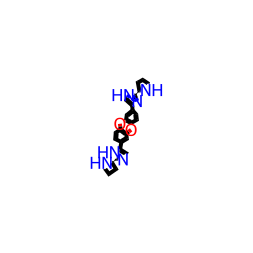 c1cc2c(cc1-c1c[nH]c([C@@H]3CCCN3)n1)Oc1ccc(-c3cnc([C@@H]4CCCN4)[nH]3)cc1O2